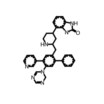 O=C1[N]c2c(cccc2C2CCNC(Cc3cc(-c4cccnc4)c(N4C=NC=NC4)cc3-c3ccccc3)C2)N1